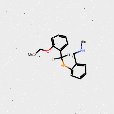 CCC(C)(Pc1ccccc1CNC(C)(C)C)c1ccccc1OCOC